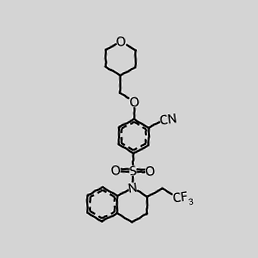 N#Cc1cc(S(=O)(=O)N2c3ccccc3CCC2CC(F)(F)F)ccc1OCC1CCOCC1